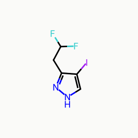 FC(F)Cc1n[nH]cc1I